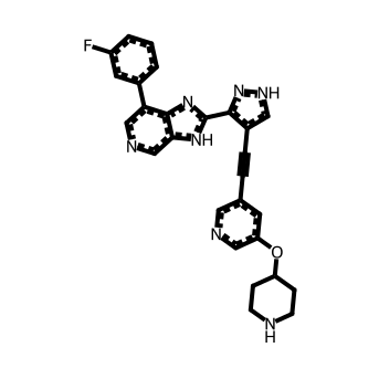 Fc1cccc(-c2cncc3[nH]c(-c4n[nH]cc4C#Cc4cncc(OC5CCNCC5)c4)nc23)c1